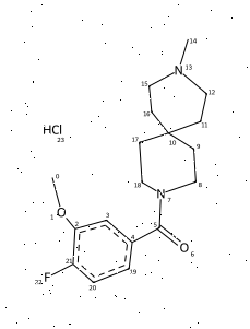 COc1cc(C(=O)N2CCC3(CCN(C)CC3)CC2)ccc1F.Cl